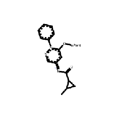 CCCCCOc1c/c(=N\C(=O)C2CC2C)cnn1-c1ccccc1